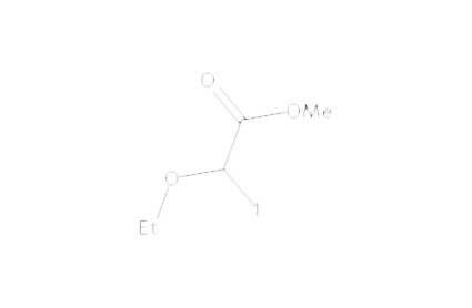 CCOC(I)C(=O)OC